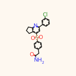 NC(=O)Cc1ccc(S(=O)(=O)c2cc(-c3cccc(Cl)c3)nc3c2CCC3)cc1